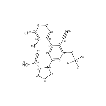 CC(C)(C)Cc1cc(N2CCC[C@@H]2C(=O)O)cc(-c2cccc(Cl)c2F)c1C#N